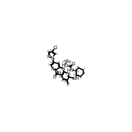 CC(C)(C)OC(=O)N[C@H]1CCCC[C@H]1Nc1nc(Nc2cncc(-n3cc(Cl)cn3)c2)c(C(N)=O)cc1F